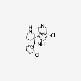 O=C1Nc2cc(Cl)ccc2[C@]12[C@@H](c1cccnc1)NCC[C@H]2c1cccc(Cl)c1